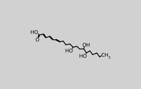 CCCCCC(O)C(O)CCC(O)CCCC=CC=CC=CC(=O)O